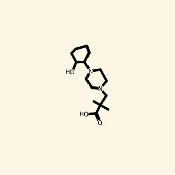 CC(C)(CN1CCN(C2CCCCC2O)CC1)C(=O)O